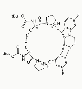 CC(C)(C)OC(=O)N[C@H]1CCCC[C@H](NC(=O)OC(C)(C)C)C(=O)N2CCC[C@H]2Cc2c3n(c4cc(F)ccc24)CCn2c-3cc3c(cc(F)cc32)C[C@@H]2CCCN2C1=O